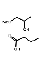 CCCC(=O)O.COCC(C)O